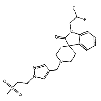 CS(=O)(=O)CCn1cc(CN2CCC3(CC2)C(=O)N(CC(F)F)c2ccccc23)cn1